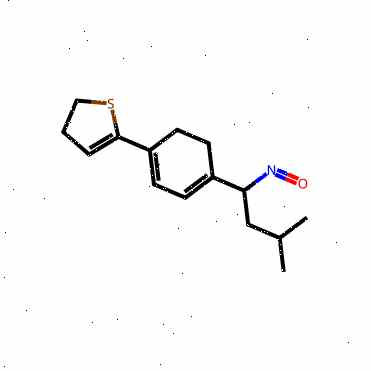 CC(C)CC(N=O)C1=CC=C(C2=CCCS2)CC1